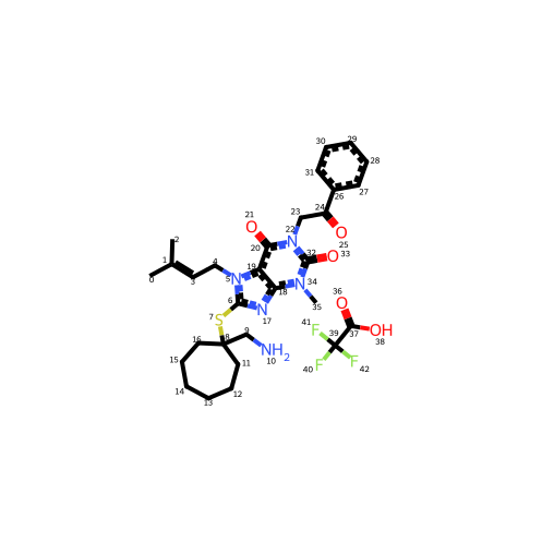 CC(C)=CCn1c(SC2(CN)CCCCCC2)nc2c1c(=O)n(CC(=O)c1ccccc1)c(=O)n2C.O=C(O)C(F)(F)F